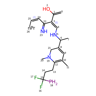 C=C(O)/C(=C/NC(C)C1=CC(C)=C(CCC(F)(F)P)N(C)C1)C(=N)/C=C\CCC